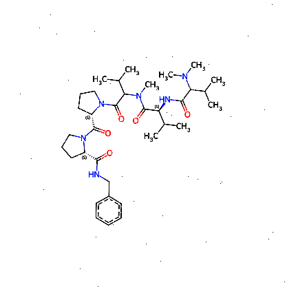 CC(C)C(C(=O)N[C@H](C(=O)N(C)C(C(=O)N1CCC[C@H]1C(=O)N1CCC[C@H]1C(=O)NCc1ccccc1)C(C)C)C(C)C)N(C)C